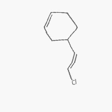 ClC=CC1CC=CCC1